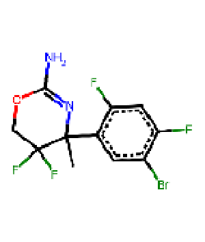 CC1(c2cc(Br)c(F)cc2F)N=C(N)OCC1(F)F